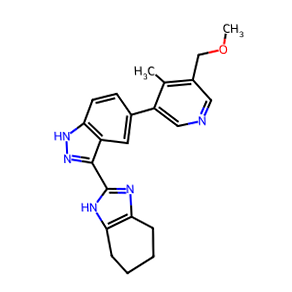 COCc1cncc(-c2ccc3[nH]nc(-c4nc5c([nH]4)CCCC5)c3c2)c1C